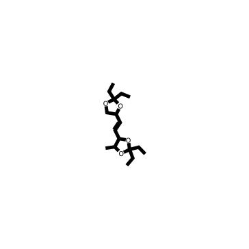 CCC1(CC)OCC(C=CC2OC(CC)(CC)OC2C)O1